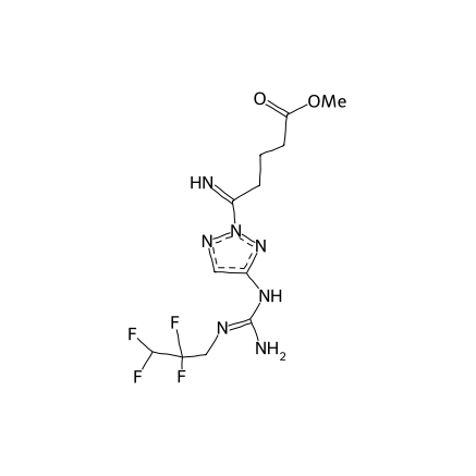 COC(=O)CCCC(=N)n1ncc(NC(N)=NCC(F)(F)C(F)F)n1